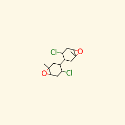 CC12CC(C3CC4(C)OC4CC3Cl)C(Cl)CC1O2